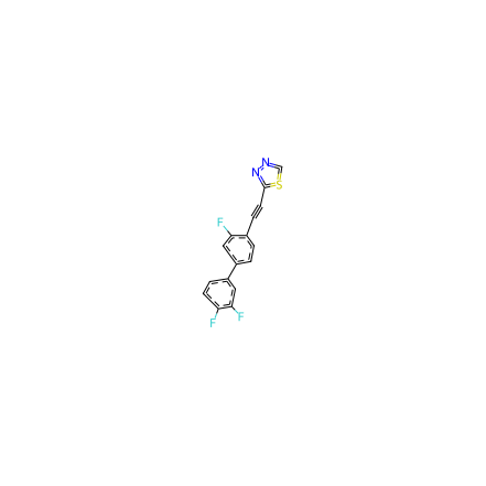 Fc1ccc(-c2ccc(C#Cc3nncs3)c(F)c2)cc1F